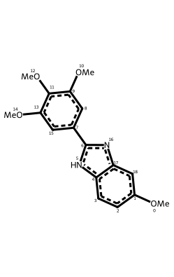 COc1ccc2[nH]c(-c3cc(OC)c(OC)c(OC)c3)nc2c1